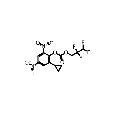 O=C(OCC(F)(F)C(F)F)Oc1c(C2CC2)cc([N+](=O)[O-])cc1[N+](=O)[O-]